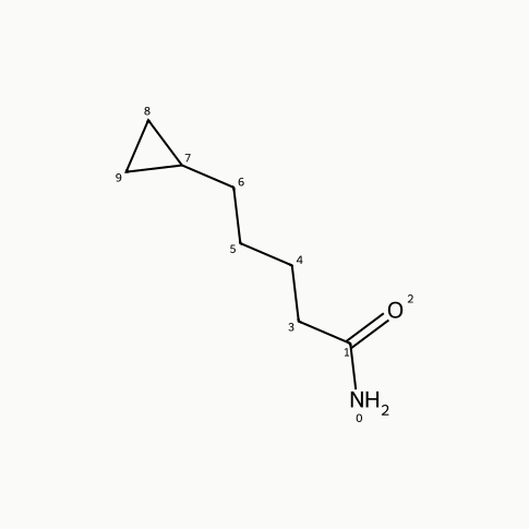 NC(=O)CCCCC1CC1